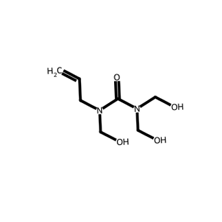 C=CCN(CO)C(=O)N(CO)CO